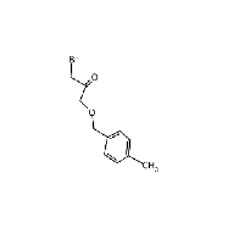 Cc1ccc(COCC(=O)CBr)cc1